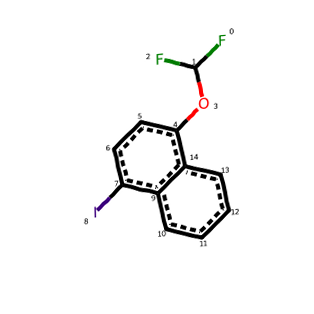 FC(F)Oc1ccc(I)c2ccccc12